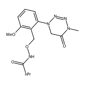 CCCC(=O)NOCc1c(OC)cccc1N1CC(=O)N(C)N=N1